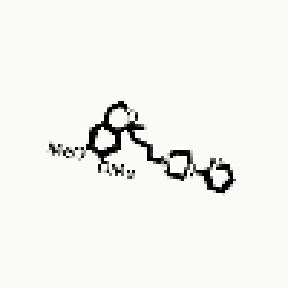 COc1cc2c(cc1OC)C(C)(CCCN1CCN(c3ccccn3)CC1)OCC2